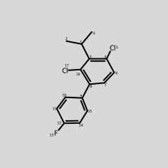 CC(C)c1c(Cl)c[c]c(-c2ccc(F)cc2)c1Cl